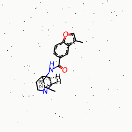 Cc1coc2ccc(C(=O)N[C@@H]3C4CCN(CC4)[C@H]3C)cc12